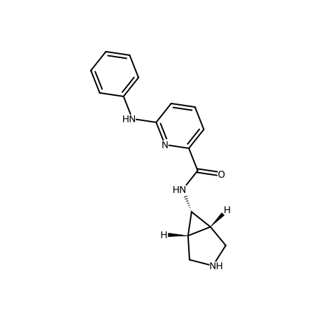 O=C(N[C@@H]1[C@@H]2CNC[C@@H]21)c1cccc(Nc2ccccc2)n1